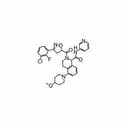 COC1CCN(c2cccc3c2CCN(C(=O)C2CC(c4cccc(Cl)c4F)=NO2)[C@H]3C(=O)Nc2cccnc2)CC1